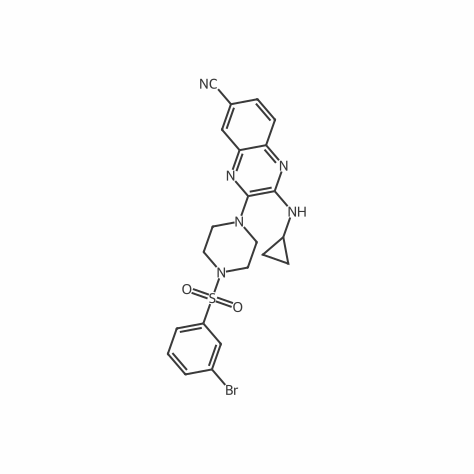 N#Cc1ccc2nc(NC3CC3)c(N3CCN(S(=O)(=O)c4cccc(Br)c4)CC3)nc2c1